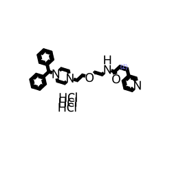 Cl.Cl.Cl.O=C(/C=C\c1cccnc1)NCCOCCN1CCN(C(c2ccccc2)c2ccccc2)CC1